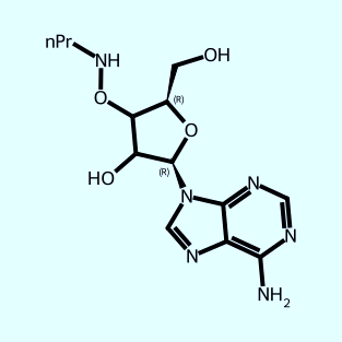 CCCNOC1C(O)[C@H](n2cnc3c(N)ncnc32)O[C@@H]1CO